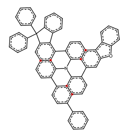 c1ccc(-c2ccc(-c3ccccc3N(c3ccccc3-c3ccc4c(c3)oc3ccccc34)c3ccccc3-c3cccc4c3-c3ccccc3C4(c3ccccc3)c3ccccc3)cc2)cc1